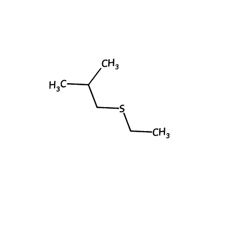 CCSCC(C)C